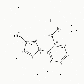 CCCC[n+]1ccn(-c2ccccc2OCC)c1.[I-]